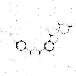 CCOc1ccc(C(=O)NC(=O)c2ccc3c(c2)C(=O)N(C2(C)CCC(=O)NC2=O)C3)cc1